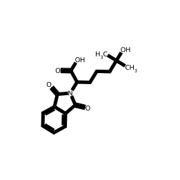 CC(C)(O)CCCC(C(=O)O)N1C(=O)c2ccccc2C1=O